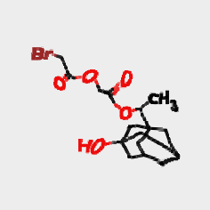 CC(OC(=O)COC(=O)CBr)C12CC3CC(CC(O)(C3)C1)C2